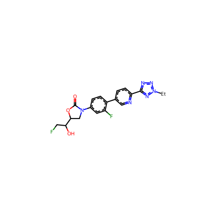 CCn1nnc(-c2ccc(-c3ccc(N4CC(C(O)CF)OC4=O)cc3F)cn2)n1